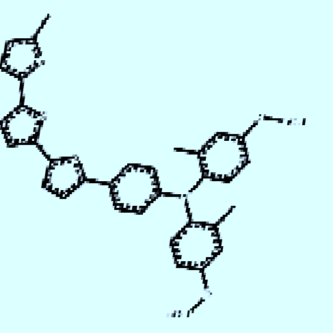 CCCCCCCCOc1ccc(N(c2ccc(-c3ccc(-c4ccc(-c5ccc(C)s5)s4)s3)cc2)c2ccc(OCCCCCCCC)cc2C)c(C)c1